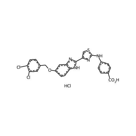 Cl.O=C(O)c1ccc(Nc2nc(-c3nc4cc(OCc5ccc(Cl)c(Cl)c5)ccc4[nH]3)cs2)cc1